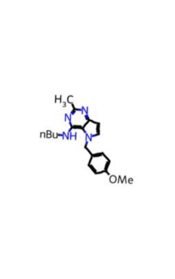 CCCCNc1nc(C)nc2ccn(Cc3ccc(OC)cc3)c12